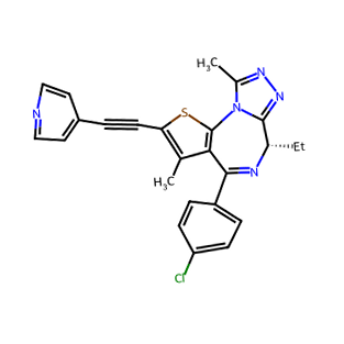 CC[C@@H]1N=C(c2ccc(Cl)cc2)c2c(sc(C#Cc3ccncc3)c2C)-n2c(C)nnc21